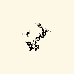 Cc1sc2c(c1C)C(c1ccc(Cl)cc1)=N[C@@H](CC(=O)N1CCC(C(=O)Nc3ccc(C(=O)O)c(C#CCOS(N)(=O)=O)c3)CC1)c1nnc(C)n1-2.O=C(O)C(F)(F)F